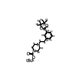 CC(C)(C)OC(=O)N1CCN(CCc2cccc(B3OC(C)(C)C(C)(C)O3)c2)CC1